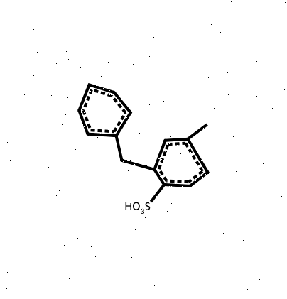 Cc1ccc(S(=O)(=O)O)c(Cc2ccccc2)c1